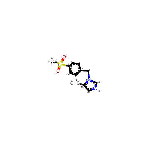 CS(=O)(=O)c1ccc(Cn2cncc2C=O)cc1